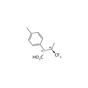 Cc1ccc([C@@H](C(=O)O)[C@@H](C)C(F)(F)F)cc1